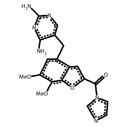 COc1cc(Cc2cnc(N)nc2N)c2cc(C(=O)n3ccnc3)oc2c1OC